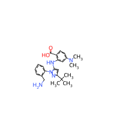 CN(C)c1ccc(C(=O)O)c(Nc2cc(C(C)(C)C)nn2-c2ccccc2CN)c1